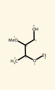 CCOC(C)C(CO)OC